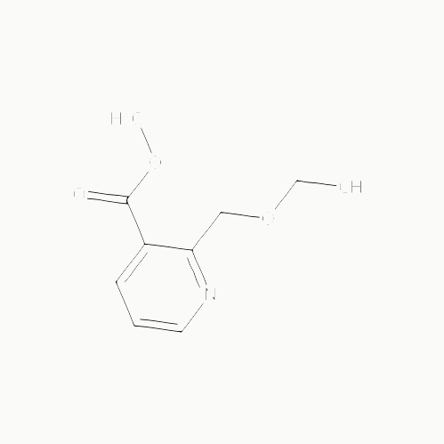 CCOCc1ncccc1C(=O)OC